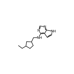 CCC1CCC(CNc2ncnc3[nH]ccc23)C1